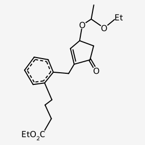 CCOC(=O)CCCc1ccccc1CC1=CC(OC(C)OCC)CC1=O